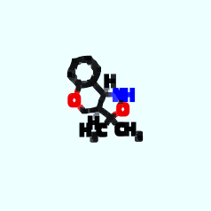 CC1(C)ON[C@@H]2c3ccccc3OC[C@@H]21